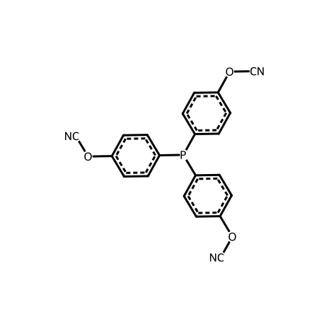 N#COc1ccc(P(c2ccc(OC#N)cc2)c2ccc(OC#N)cc2)cc1